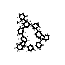 c1ccc(-n2c3ccccc3c3cc(-c4cccc(-c5cc(-c6cccc(-c7ccc8c(c7)c7ccccc7n8-c7ccccc7)c6)c6[nH]c7ccccc7c6c5)c4)ccc32)cc1